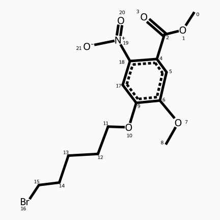 COC(=O)c1cc(OC)c(OCCCCCBr)cc1[N+](=O)[O-]